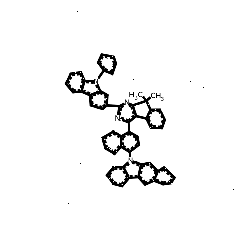 CC1(C)c2ccccc2-c2c(-c3ccc(-n4c5ccccc5c5cc6ccccc6cc54)c4ccccc34)nc(-c3ccc4c5ccccc5n(-c5ccccc5)c4c3)nc21